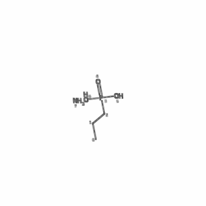 CCCP(=O)(O)O.N